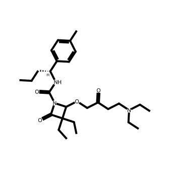 CCC[C@@H](NC(=O)N1C(=O)C(CC)(CC)C1OCC(=O)CCN(CC)CC)c1ccc(C)cc1